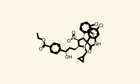 CCOC(=O)c1ccc([C@@H](O)CC[C@H]2[C@@H]([N+](=O)[O-])[C@H](c3cccc(Cl)c3F)[C@]3(C(=O)Nc4cc(Cl)ccc43)N2CC2CC2)cc1